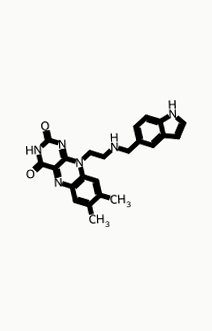 Cc1cc2nc3c(=O)[nH]c(=O)nc-3n(CCNCc3ccc4[nH]ccc4c3)c2cc1C